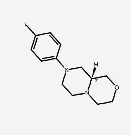 Ic1ccc(N2CCN3CCOC[C@H]3C2)cc1